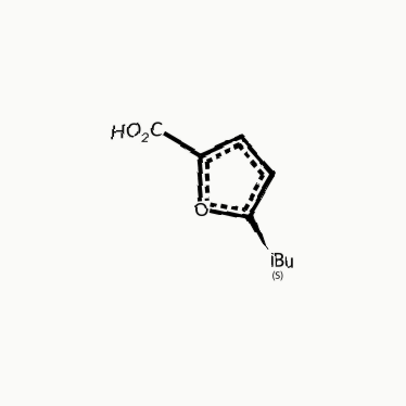 CC[C@H](C)c1ccc(C(=O)O)o1